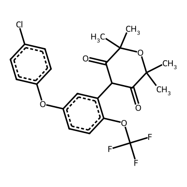 CC1(C)OC(C)(C)C(=O)C(c2cc(Oc3ccc(Cl)cc3)ccc2OC(F)(F)F)C1=O